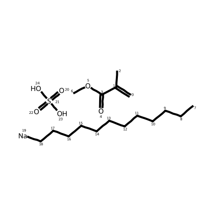 C=C(C)C(=O)OC.CCCCCCCCCCC[CH2][Na].O=S(=O)(O)O